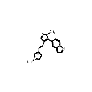 CN1CC[C@@H](COc2cnn(C)c2-c2ccn3nccc3c2)C1